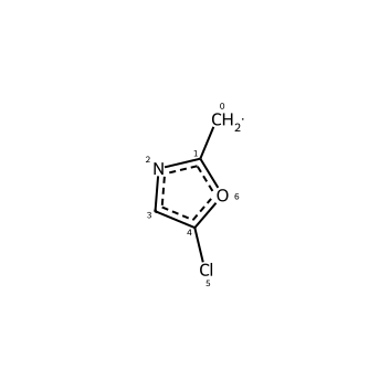 [CH2]c1ncc(Cl)o1